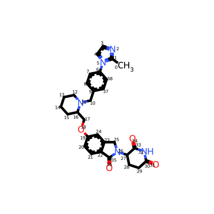 Cc1nccn1-c1ccc(CN2CCCCC2COc2ccc3c(c2)CN(C2CCC(=O)NC2=O)C3=O)cc1